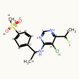 CC(F)c1ncnc(NC(C)c2ccc(S(C)(=O)=O)cc2)c1Cl